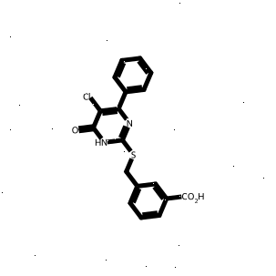 O=C(O)c1cccc(CSc2nc(-c3ccccc3)c(Cl)c(=O)[nH]2)c1